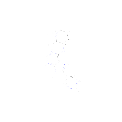 CCn1c(-c2cnc(C)nc2)nc2c(NC3CCCN(C(=O)O)C3C(C)(C)C)ncnc21